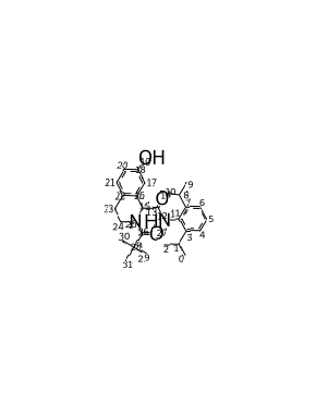 CC(C)c1cccc(C(C)C)c1NC(=O)C1c2cc(O)ccc2CCN1C(=O)C(C)(C)C